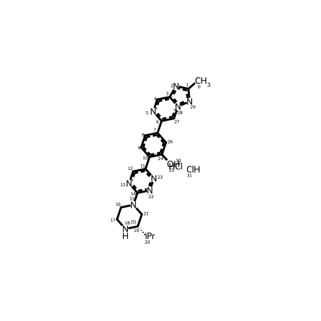 Cc1nc2cnc(-c3ccc(-c4cnc(N5CCN[C@@H](C(C)C)C5)nn4)c(O)c3)cn2n1.Cl.Cl